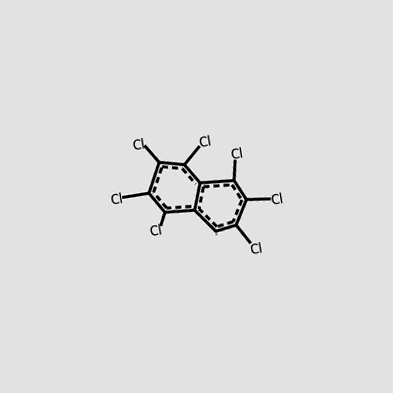 Clc1[c]c2c(Cl)c(Cl)c(Cl)c(Cl)c2c(Cl)c1Cl